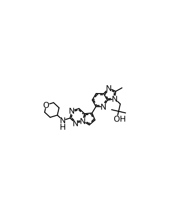 Cc1nc2ccc(-c3ccn4nc(NC5CCOCC5)ncc34)nc2n1CC(C)(C)O